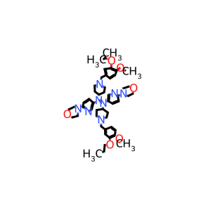 CCCOc1cc(CN2CCC(N(c3ccc(N4CCOCC4)nc3)N(c3ccc(N4CCOCC4)nc3)C3CCN(Cc4ccc(OC)c(OC(C)C)c4)CC3)CC2)ccc1OC